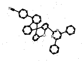 N#Cc1ccc(-c2cccc3c2-c2ccccc2C32c3ccccc3Oc3c(-c4nc(-c5ccccc5)cc(-c5ccccc5)n4)cccc32)cc1